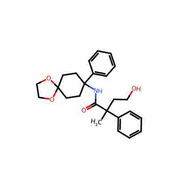 CC(CCO)(C(=O)NC1(c2ccccc2)CCC2(CC1)OCCO2)c1ccccc1